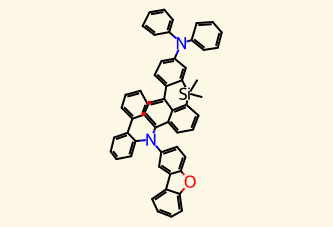 C[Si]1(C)c2cc(N(c3ccccc3)c3ccccc3)ccc2-c2ccc(N(c3ccc4oc5ccccc5c4c3)c3ccccc3-c3ccccc3)c3cccc1c23